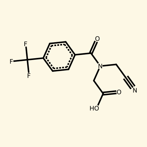 N#CCN(CC(=O)O)C(=O)c1ccc(C(F)(F)F)cc1